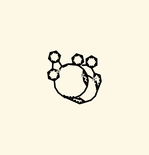 c1ccc2c(c1)C/C1=C3\c4ccccc4-c4ccc(c[n+]43)CCc3cc4cc(c3)CCc3ccc([n+](c3)C[n+]3cc(ccc3-2)CC4)-c2ccccc21